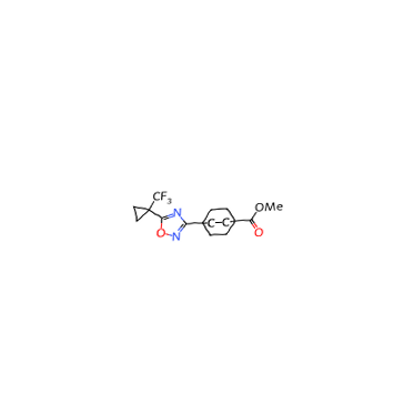 COC(=O)C12CCC(c3noc(C4(C(F)(F)F)CC4)n3)(CC1)CC2